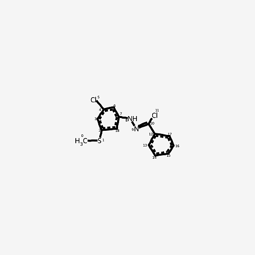 CSc1cc(Cl)cc(NN=C(Cl)c2ccccc2)c1